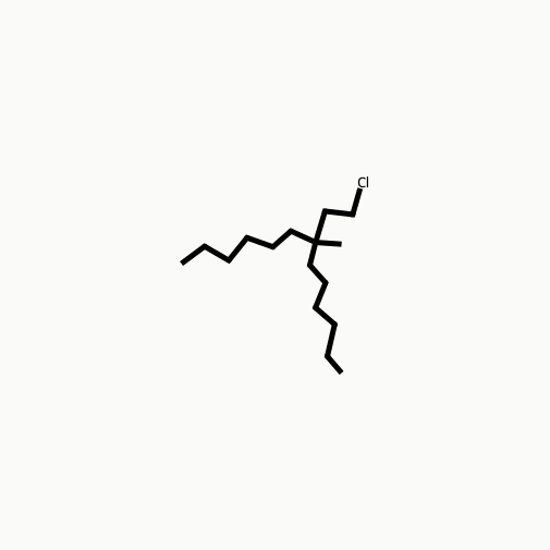 CCCCCCC(C)(CCCl)CCCCCC